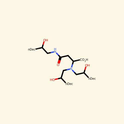 CCCCCCCCCCC(O)CNC(=O)CC(C(=O)O)N(CC(O)CCCCCCCCCC)CC(O)CCCCCCCCCC